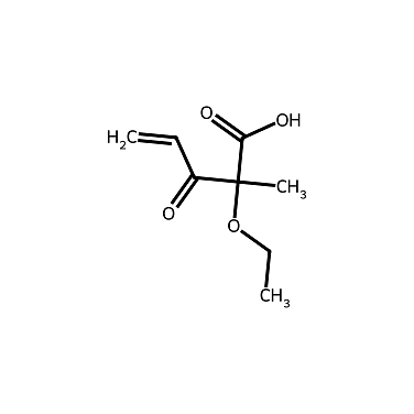 C=CC(=O)C(C)(OCC)C(=O)O